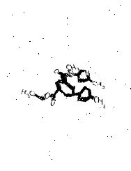 CCOC(=O)c1cc(C(=O)N(C)c2ccc(C)nc2)cc(-c2ccc(C)cc2)c1